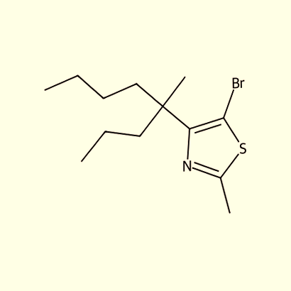 CCCCC(C)(CCC)c1nc(C)sc1Br